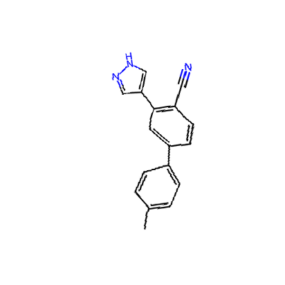 Cc1ccc(-c2ccc(C#N)c(-c3cn[nH]c3)c2)cc1